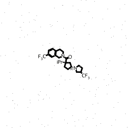 CC(C)[C@]1(C(=O)N2CCc3ccc(C(F)(F)F)cc3C2)CC[C@@H](N2CCC(C(F)(F)F)C2)C1